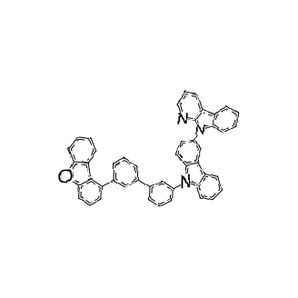 c1cc(-c2cccc(-n3c4ccccc4c4cc(-n5c6ccccc6c6cccnc65)ccc43)c2)cc(-c2cccc3oc4ccccc4c23)c1